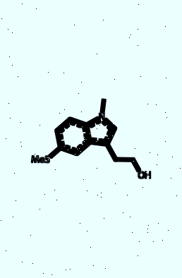 CSc1ccc2c(c1)c(CCO)cn2C